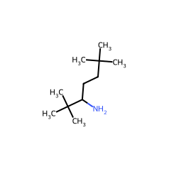 CC(C)(C)CCC(N)C(C)(C)C